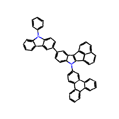 c1ccc(-n2c3ccccc3c3cc(-c4ccc5c(c4)c4c(n5-c5ccc6c7ccccc7c7ccccc7c6c5)-c5cccc6cccc-4c56)ccc32)cc1